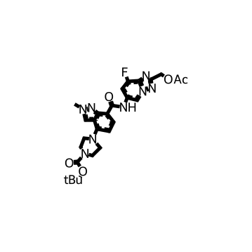 CC(=O)OCc1nc2c(F)cc(NC(=O)c3ccc(N4CCN(C(=O)OC(C)(C)C)CC4)c4cn(C)nc34)cn2n1